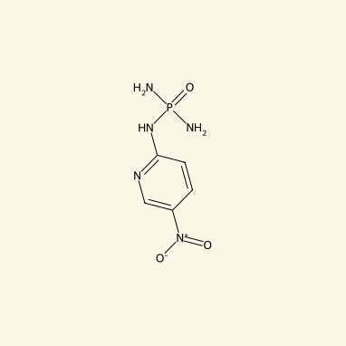 NP(N)(=O)Nc1ccc([N+](=O)[O-])cn1